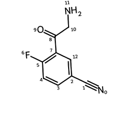 N#Cc1ccc(F)c(C(=O)CN)c1